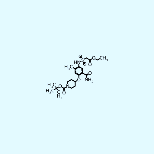 CCOC(=O)CS(=O)(=O)Nc1cc(C(N)=O)c(OC2CCN(C(=O)OC(C)(C)C)CC2)cc1C